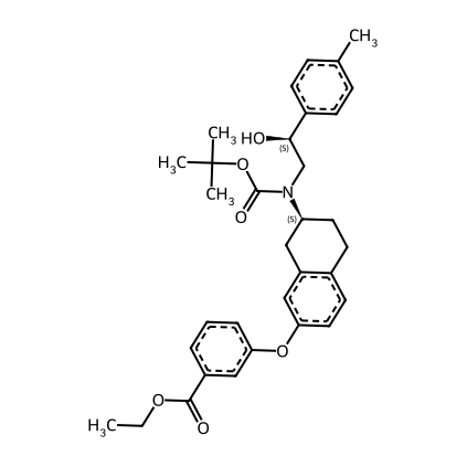 CCOC(=O)c1cccc(Oc2ccc3c(c2)C[C@@H](N(C[C@@H](O)c2ccc(C)cc2)C(=O)OC(C)(C)C)CC3)c1